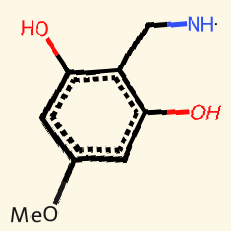 COc1cc(O)c(C[NH])c(O)c1